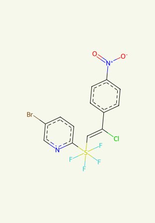 O=[N+]([O-])c1ccc(C(Cl)=CS(F)(F)(F)(F)c2ccc(Br)cn2)cc1